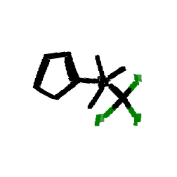 [CH3][Zr]([CH3])([CH3])([C]1=CC=CC1)[C](F)(F)F